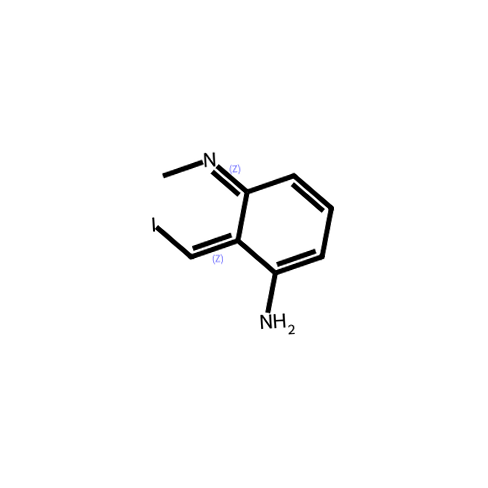 C/N=C1/C=CC=C(N)/C1=C/I